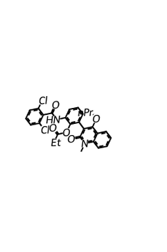 CCCOc1c(-c2cccc(NC(=O)c3c(Cl)cccc3Cl)c2OC(=O)CC)c(=O)n(C)c2ccccc12